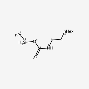 CCCCCCCCNC(=O)O[SiH2]CCC